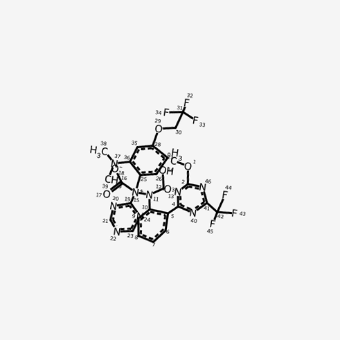 COc1nc(-c2ccccc2N(C(=O)O)[N+](C(=O)[O-])(c2ncncn2)c2ccc(OCC(F)(F)F)cc2N(C)C)nc(C(F)(F)F)n1